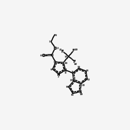 CCOC(=O)c1cnn(-c2cccc3nccn23)c1C(F)(F)F